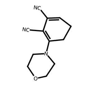 N#CC1=CCCC(N2CCOCC2)=C1C#N